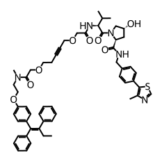 CC/C(=C(\c1ccccc1)c1ccc(OCCN(C)C(=O)COCCC#CCOCC(=O)N[C@H](C(=O)N2C[C@H](O)C[C@H]2C(=O)NCc2ccc(-c3scnc3C)cc2)C(C)C)cc1)c1ccccc1